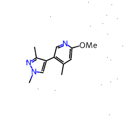 COc1cc(C)c(-c2cn(C)nc2C)cn1